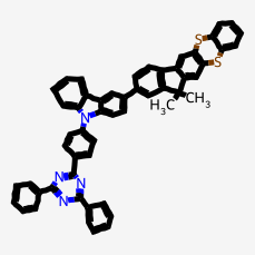 CC1(C)c2cc(-c3ccc4c(c3)c3ccccc3n4-c3ccc(-c4nc(-c5ccccc5)nc(-c5ccccc5)n4)cc3)ccc2-c2cc3c(cc21)Sc1ccccc1S3